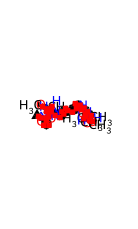 C=C1C(/C=C/OC)CN(C(=O)[C@H](NC(=O)C2CC2)c2ccccc2)[C@@H]1c1nc2ccc3cc(-c4ccc5c(ccc6nc(CN(CCC)C(=O)[C@@H](NC(=O)OC)C(C)C)[nH]c65)c4)ccc3c2[nH]1